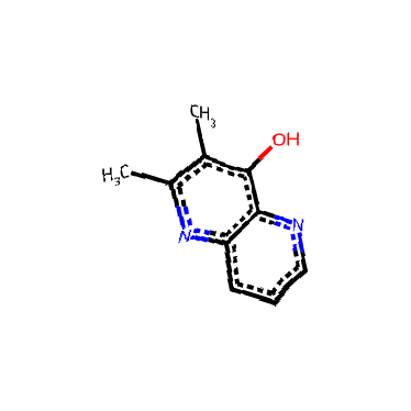 Cc1nc2cccnc2c(O)c1C